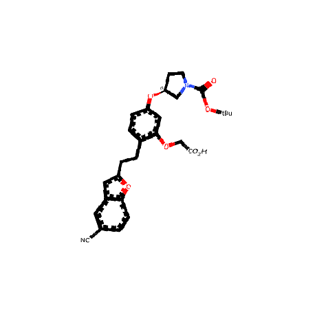 CC(C)(C)OC(=O)N1CC[C@H](Oc2ccc(CCc3cc4cc(C#N)ccc4o3)c(OCC(=O)O)c2)C1